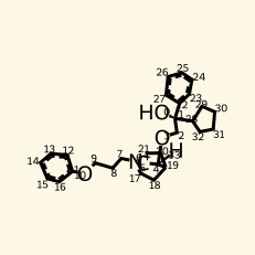 O[C@@](CO[C@H]1C[N+]2(CCCOc3ccccc3)CCC1CC2)(c1ccccc1)C1CCCC1